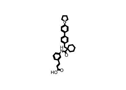 O=C(O)/C=C/c1cccc(NC(=O)C2(Cc3ccc(-c4ccc(N5CCCC5)cc4)cc3)CCCCC2)c1